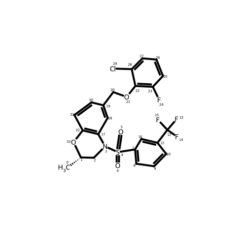 C[C@H]1CN(S(=O)(=O)c2cccc(C(F)(F)F)c2)c2cc(COc3c(F)cccc3Cl)ccc2O1